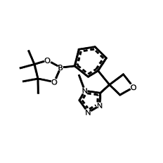 Cn1cnnc1C1(c2cccc(B3OC(C)(C)C(C)(C)O3)c2)COC1